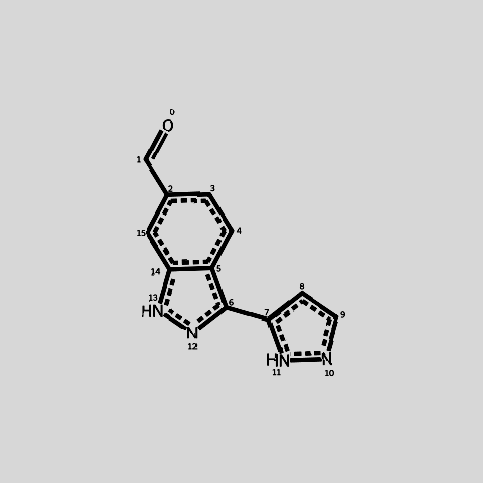 O=Cc1ccc2c(-c3ccn[nH]3)n[nH]c2c1